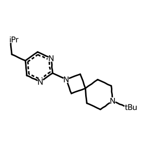 CC(C)Cc1cnc(N2CC3(CCN(C(C)(C)C)CC3)C2)nc1